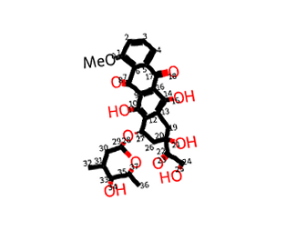 COc1cccc2c1C(=O)c1c(O)c3c(c(O)c1C2=O)CC(O)(C(=O)CO)C[C@@H]3OC1CC(C)C(O)C(C)O1